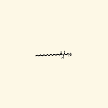 CCCCCCCCCCCCCCCC(=O)NC(I)CC[N+](C)(C)C